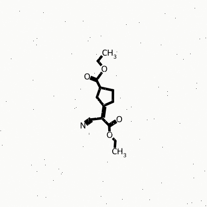 CCOC(=O)C(C#N)=C1CCC(C(=O)OCC)C1